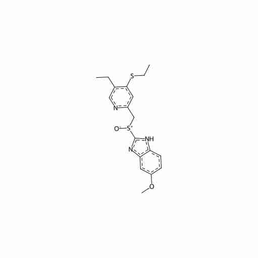 CCSc1cc(C[S+]([O-])c2nc3cc(OC)ccc3[nH]2)ncc1CC